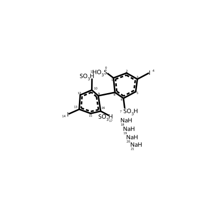 O=S(=O)(O)c1cc(I)cc(S(=O)(=O)O)c1-c1c(S(=O)(=O)O)cc(I)cc1S(=O)(=O)O.[NaH].[NaH].[NaH].[NaH]